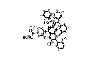 CC(C)c1ccccc1-c1nc2c(cc1Cl)c(N1C[C@H](C)N(C(=O)OC(C)(C)C)C[C@@H]1C)nc(=O)n2-c1c(CO[Si](c2ccccc2)(c2ccccc2)C(C)(C)C)cccc1C(C)C